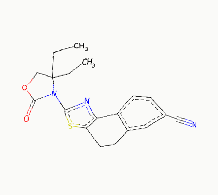 CCC1(CC)COC(=O)N1c1nc2c(s1)CCc1cc(C#N)ccc1-2